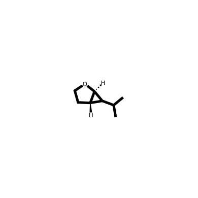 CC(C)C1[C@@H]2CCO[C@@H]12